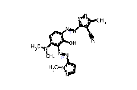 Cc1nsc(/N=N/c2ccc(N(C)C)c(/N=N/c3ccnn3C)c2O)c1C#N